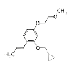 [CH2]CCc1ccc(OCCOC)cc1OCC1CC1